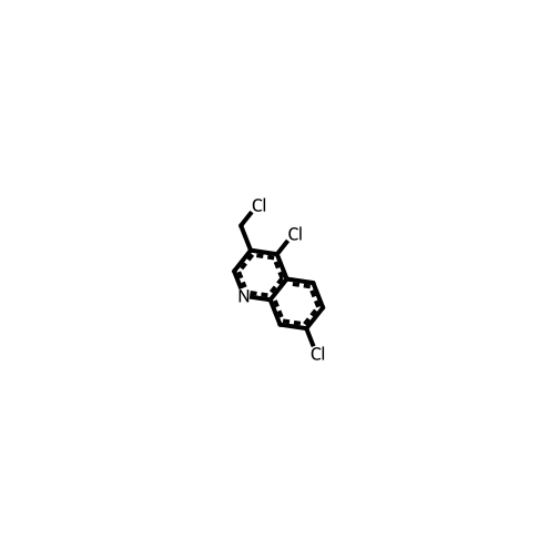 ClCc1cnc2cc(Cl)ccc2c1Cl